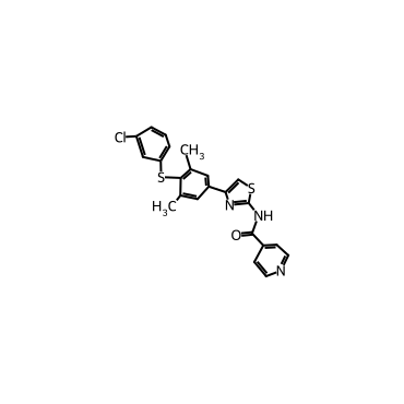 Cc1cc(-c2csc(NC(=O)c3ccncc3)n2)cc(C)c1Sc1cccc(Cl)c1